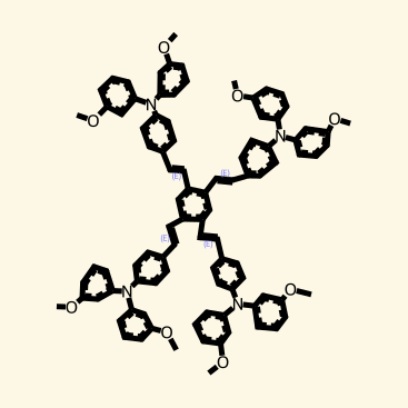 COc1cccc(N(c2ccc(/C=C/c3cc(/C=C/c4ccc(N(c5cccc(OC)c5)c5cccc(OC)c5)cc4)c(/C=C/c4ccc(N(c5cccc(OC)c5)c5cccc(OC)c5)cc4)cc3/C=C/c3ccc(N(c4cccc(OC)c4)c4cccc(OC)c4)cc3)cc2)c2cccc(OC)c2)c1